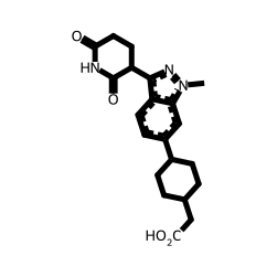 Cn1nc(C2CCC(=O)NC2=O)c2ccc(C3CCC(CC(=O)O)CC3)cc21